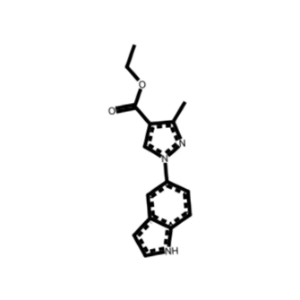 CCOC(=O)c1cn(-c2ccc3[nH]ccc3c2)nc1C